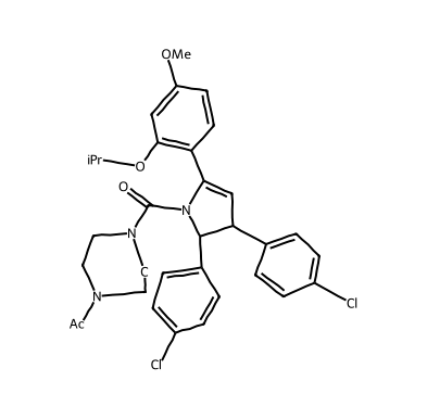 COc1ccc(C2=CC(c3ccc(Cl)cc3)C(c3ccc(Cl)cc3)N2C(=O)N2CCN(C(C)=O)CC2)c(OC(C)C)c1